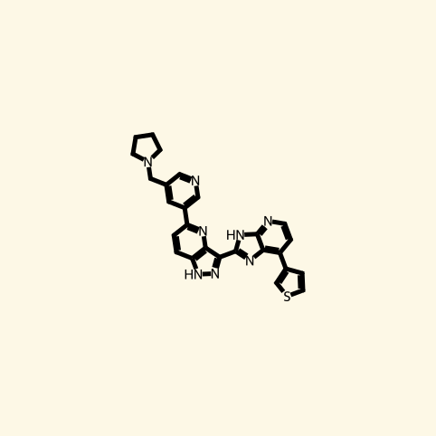 c1cc(-c2ccsc2)c2nc(-c3n[nH]c4ccc(-c5cncc(CN6CCCC6)c5)nc34)[nH]c2n1